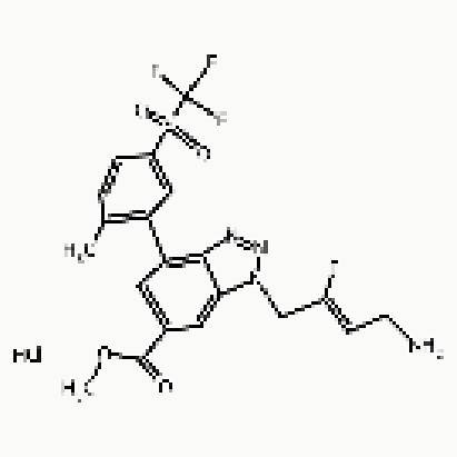 COC(=O)c1cc(-c2cc(S(=O)(=O)C(F)(F)F)ccc2C)c2nnn(C/C(F)=C/CN)c2c1.Cl